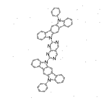 c1ccc(-n2c3ccccc3c3cc4c(cc32)c2ccccc2n4-c2ncc3cnc(-n4c5ccccc5c5cc6c(cc54)c4ccccc4n6-c4ccccc4)nc3n2)cc1